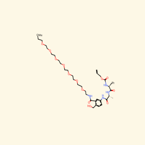 C=CCOC(=O)N[C@H](C(=O)N[C@H](C)C(=O)Nc1ccc(CO)c(C(=O)NCCOCCOCCOCCOCCOCCOCCOCCOC)c1)C(C)C